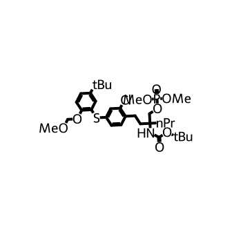 CCCC(CCc1ccc(Sc2cc(C(C)(C)C)ccc2OCOC)cc1Cl)(COP(=O)(OC)OC)NC(=O)OC(C)(C)C